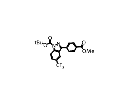 COC(=O)c1ccc(-c2nn(C(=O)OC(C)(C)C)c3ccc(C(F)(F)F)cc23)cc1